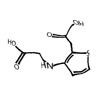 O=C(O)CNc1ccsc1C(=O)O